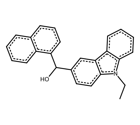 CCn1c2ccccc2c2cc(C(O)c3cccc4ccccc34)ccc21